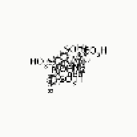 CCCCOc1nc(Nc2cc(S(=O)(=O)O)cc3cc(S(=O)(=O)O)c(N=Nc4ccc(C)cc4S(=O)(=O)O)c(O)c23)nc(NC(C)C(=O)O)n1